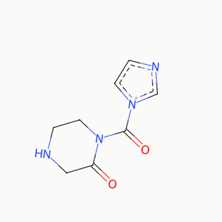 O=C1CNCCN1C(=O)n1ccnc1